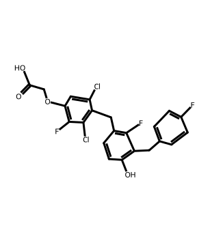 O=C(O)COc1cc(Cl)c(Cc2ccc(O)c(Cc3ccc(F)cc3)c2F)c(Cl)c1F